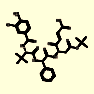 CC(C)(C)OC(=O)CN(NC(=O)C(NC(=O)[C@@H](NC(=O)c1ccc(N)c(Cl)c1)C(C)(C)C)c1ccccc1)C(=O)/C=C/C(=O)O